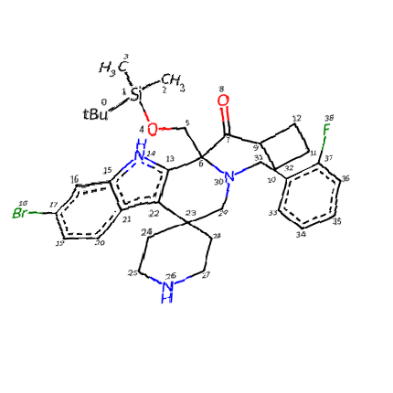 CC(C)(C)[Si](C)(C)OCC1(C(=O)C2CCC2)c2[nH]c3cc(Br)ccc3c2C2(CCNCC2)CN1Cc1ccccc1F